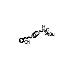 CC(C)(C)OC(=O)NCCN1CC2CN(CCCCc3ccccc3C#N)CC(C1)O2